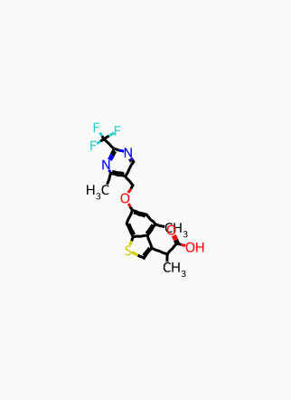 Cc1nc(C(F)(F)F)ncc1COc1cc(C)c2c(C(C)C(=O)O)csc2c1